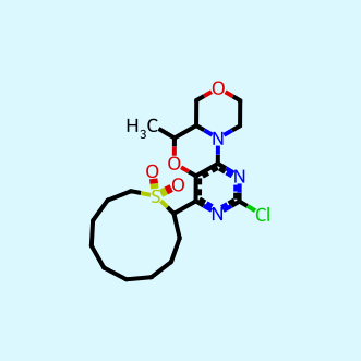 CC1Oc2c(C3CCCCCCCCCS3(=O)=O)nc(Cl)nc2N2CCOCC12